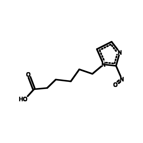 O=Nc1nccn1CCCCCC(=O)O